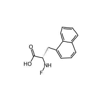 O=C(O)[C@H](Cc1cccc2ccccc12)NF